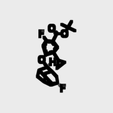 CC(C)(C)OC(=O)c1cc(C2CC2)c(O[C@H]2C3CC4CC2C[C@](F)(C4)C3)cc1F